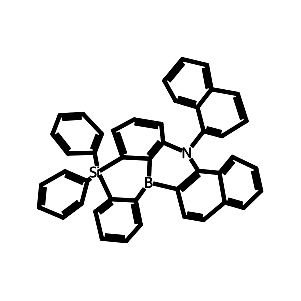 c1ccc([Si]2(c3ccccc3)c3ccccc3B3c4ccc5ccccc5c4N(c4cccc5ccccc45)c4cccc2c43)cc1